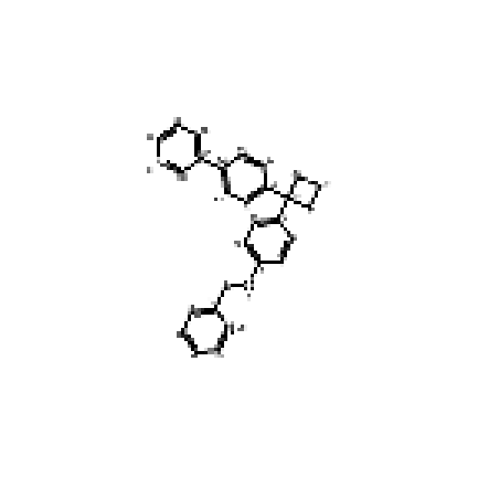 c1ccc(COc2ccc(C3(c4ccc(-c5cccnc5)cc4)CCC3)cc2)nc1